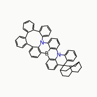 c1ccc2c(c1)N1c3cccc4c3B(c3cccc(c31)C21C2CCC3CCC(C2)CC31)c1cccc2c3ccccc3c3ccccc3c3ccccc3n-4c12